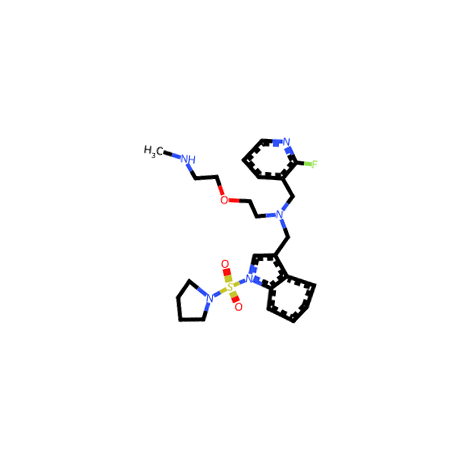 CNCCOCCN(Cc1cccnc1F)Cc1cn(S(=O)(=O)N2CCCC2)c2ccccc12